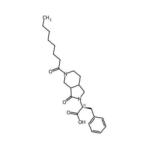 CCCCCCCC(=O)N1CCC2CN([C@@H](Cc3ccccc3)C(=O)O)C(=O)C2C1